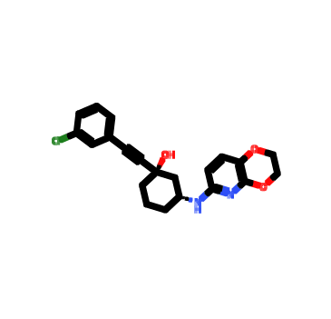 O[C@]1(C#Cc2cccc(Cl)c2)CCC[C@@H](Nc2ccc3c(n2)OCCO3)C1